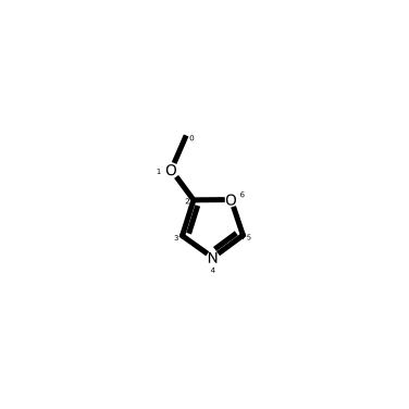 COc1cn[c]o1